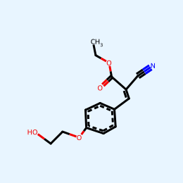 CCOC(=O)/C(C#N)=C\c1ccc(OCCO)cc1